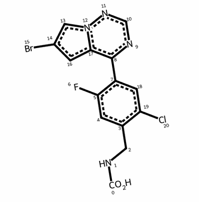 O=C(O)NCc1cc(F)c(-c2ncnn3cc(Br)cc23)cc1Cl